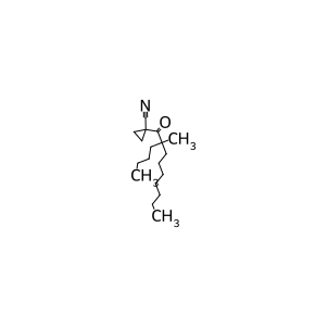 CCCCCCCC(C)(CCCC)C(=O)C1(C#N)CC1